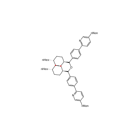 CCCCCCCCCc1ccc(-c2ccc(C(OC(c3ccc(-c4ccc(CCCCCCCCC)cn4)cc3)[C@H]3CC[C@H](CCCCCC)CC3)[C@H]3CC[C@H](CCCCCC)CC3)cc2)nc1